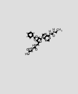 CCNC(=O)Nc1ncnc2c1ncn2C1OC(CNC(=O)NCC(=O)O)C2O[C@H](c3ccccc3)OC21